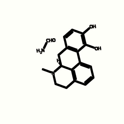 CN1CCc2cccc3c2[C@H]1Cc1ccc(O)c(O)c1-3.NC=O